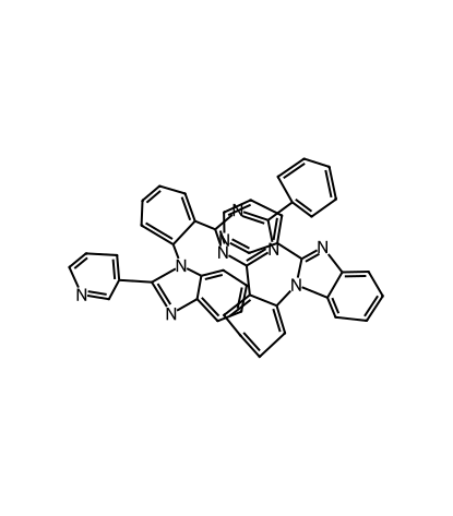 c1ccc(-c2nc(-c3ccccc3-n3c(-c4cccnc4)nc4ccccc43)nc(-c3ccccc3-n3c(-c4cccnc4)nc4ccccc43)n2)cc1